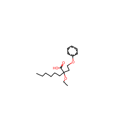 CCCCCCC(CCOc1ccccc1)(OCC)C(=O)O